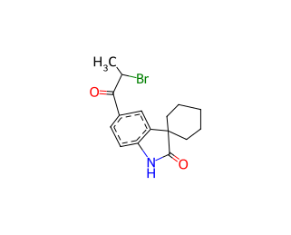 CC(Br)C(=O)c1ccc2c(c1)C1(CCCCC1)C(=O)N2